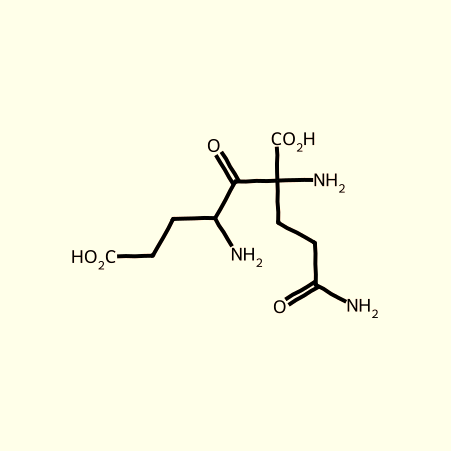 NC(=O)CCC(N)(C(=O)O)C(=O)C(N)CCC(=O)O